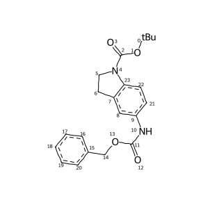 CC(C)(C)OC(=O)N1CCc2cc(NC(=O)OCc3ccccc3)ccc21